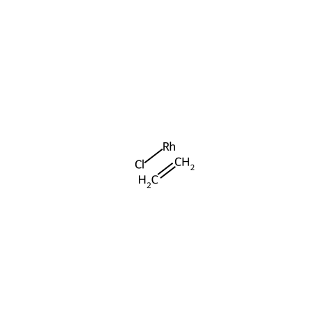 C=C.[Cl][Rh]